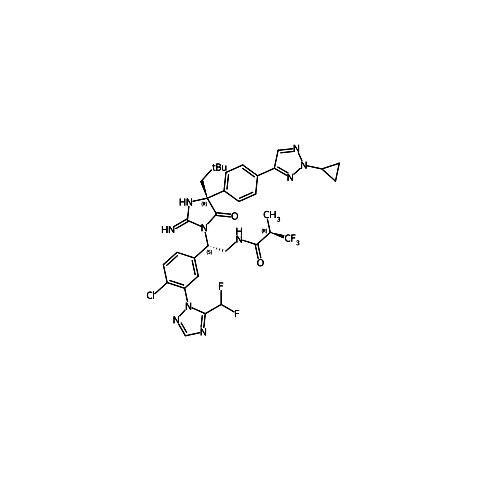 C[C@H](C(=O)NC[C@H](c1ccc(Cl)c(-n2ncnc2C(F)F)c1)N1C(=N)N[C@](CC(C)(C)C)(c2ccc(-c3cnn(C4CC4)n3)cc2)C1=O)C(F)(F)F